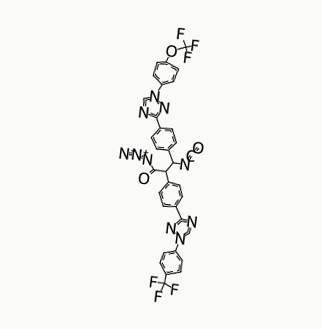 [N-]=[N+]=NC(=O)C(c1ccc(-c2ncn(-c3ccc(C(F)(F)F)cc3)n2)cc1)C(N=C=O)c1ccc(-c2ncn(-c3ccc(OC(F)(F)F)cc3)n2)cc1